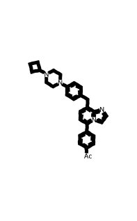 CC(=O)c1ccc(-c2ccc(Cc3ccc(N4CCN(C5CCC5)CC4)cc3)c3nccn23)cc1